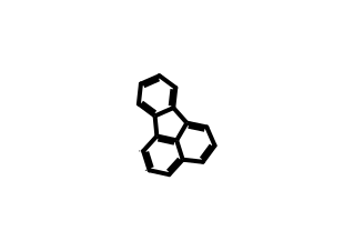 [c]1[c]c2c3c(cccc3c1)-c1ccccc1-2